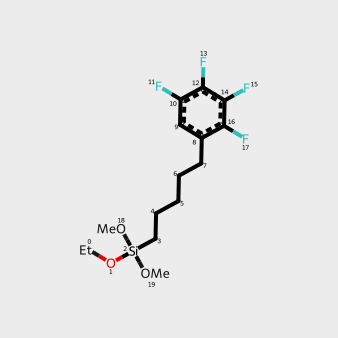 CCO[Si](CCCCCc1cc(F)c(F)c(F)c1F)(OC)OC